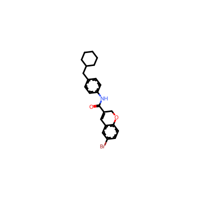 O=C(Nc1ccc(C[C]2CCCCC2)cc1)C1=Cc2cc(Br)ccc2OC1